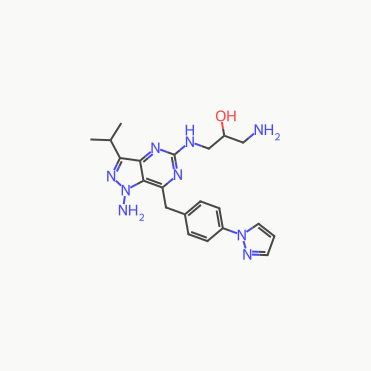 CC(C)c1nn(N)c2c(Cc3ccc(-n4cccn4)cc3)nc(NCC(O)CN)nc12